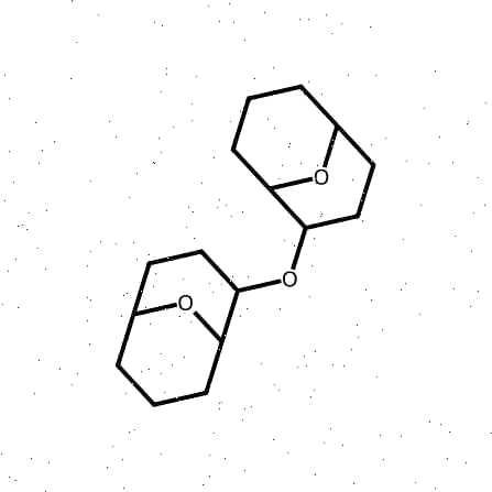 C1CC2CCC(OC3CCC4CCCC3O4)C(C1)O2